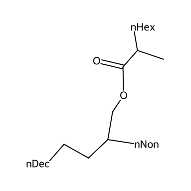 CCCCCCCCCCCCC(CCCCCCCCC)COC(=O)C(C)CCCCCC